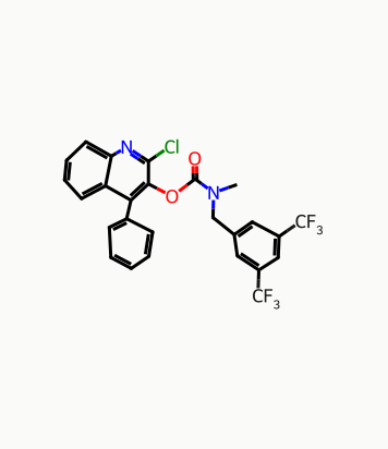 CN(Cc1cc(C(F)(F)F)cc(C(F)(F)F)c1)C(=O)Oc1c(Cl)nc2ccccc2c1-c1ccccc1